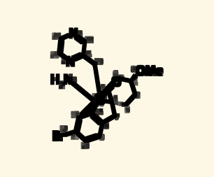 CO[C@H]1CC[C@]2(CC1)Cc1ccc(Br)cc1[C@@]21N=C(N)N(Cc2cnccn2)C1=O